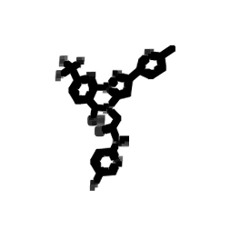 Cc1ccc(-c2cc3n(n2)-c2nc(C(F)(F)F)ccc2C(O)N3CC(=O)Nc2ccc(F)cn2)cn1